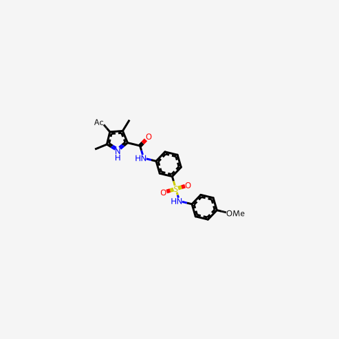 COc1ccc(NS(=O)(=O)c2cccc(NC(=O)c3[nH]c(C)c(C(C)=O)c3C)c2)cc1